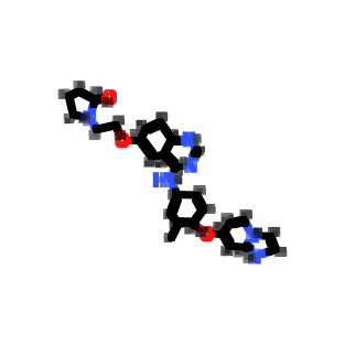 Cc1cc(Nc2ncnc3ccc(OCCN4CCCC4=O)cc23)ccc1Oc1ccn2ccnc2c1